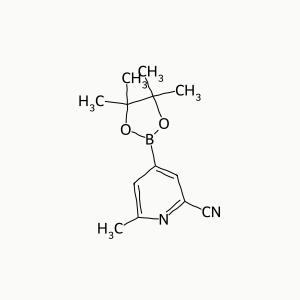 Cc1cc(B2OC(C)(C)C(C)(C)O2)cc(C#N)n1